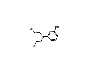 Oc1cc[c]c(N(CCCl)CCCl)c1